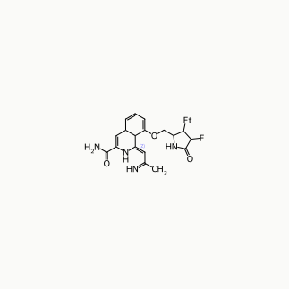 CCC1C(COC2=CC=CC3C=C(C(N)=O)N/C(=C\C(C)=N)C23)NC(=O)C1F